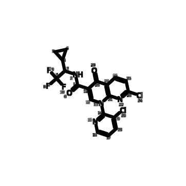 O=C(NC(C1CC1)C(F)(F)F)c1cn(-c2ncccc2Cl)c2nc(Cl)ccc2c1=O